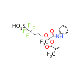 C=C(C(=O)OC(OCCCC(F)(F)C(F)(F)S(=O)(=O)O)(C(=O)Nc1ccccc1)C(F)(F)F)C(F)(F)F